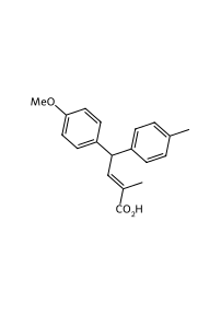 COc1ccc(C(/C=C(\C)C(=O)O)c2ccc(C)cc2)cc1